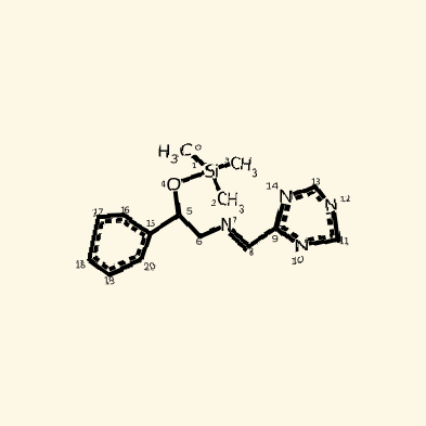 C[Si](C)(C)OC(CN=Cc1ncncn1)c1ccccc1